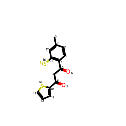 Cc1ccc(C(=O)CC(=O)c2cccs2)c(S)c1